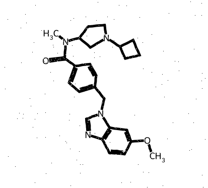 COc1ccc2ncn(Cc3ccc(C(=O)N(C)C4CCN(C5CCC5)C4)cc3)c2c1